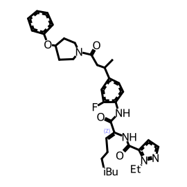 CCC(C)CC/C=C(\NC(=O)c1ccnn1CC)C(=O)Nc1ccc(C(C)CC(=O)N2CCC(Oc3ccccc3)CC2)cc1F